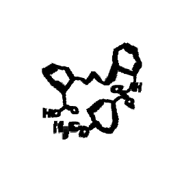 COc1ccc(S(=O)(=O)Nc2ccccc2CCCc2ccccc2C(=O)O)cc1